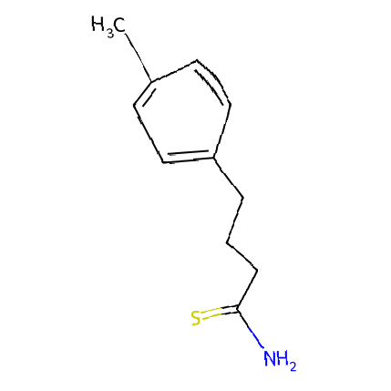 Cc1ccc(CCCC(N)=S)cc1